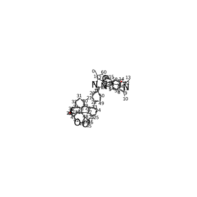 C\C1=C(c2ccc(-c3cc(C)nc(C)c3)cc2)/N=C(c2ccc(-c3cccc4c3-c3ccccc3C43c4ccccc4Oc4ccccc43)cc2)\N=C(\c2ccccc2)CC1